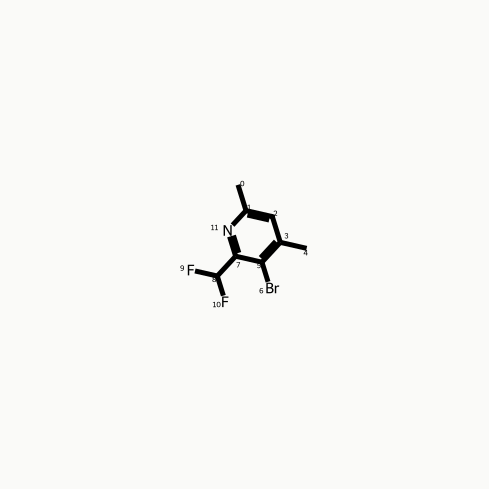 Cc1cc(C)c(Br)c(C(F)F)n1